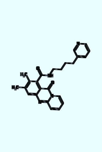 Cc1cc2nc3ccccn3c(=O)c2c(C(=O)NCCCCc2cccnc2)c1C